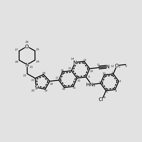 COc1ccc(Cl)c(Nc2c(C#N)cnc3cc(-c4csc(CN5CCOCC5)c4)ccc23)c1